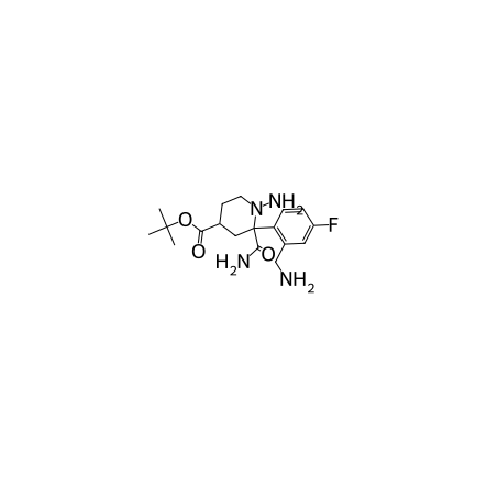 CC(C)(C)OC(=O)C1CCN(N)C(C(N)=O)(c2ccc(F)cc2CN)C1